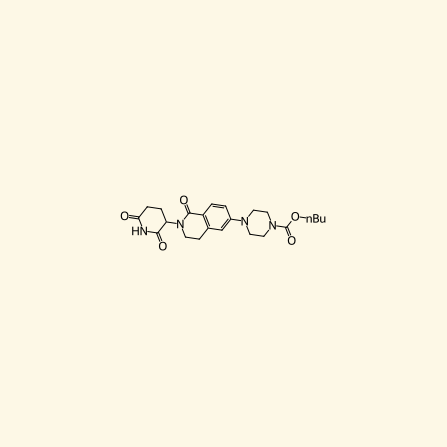 CCCCOC(=O)N1CCN(c2ccc3c(c2)CCN(C2CCC(=O)NC2=O)C3=O)CC1